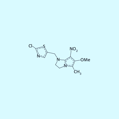 COc1c([N+](=O)[O-])c2n(c1C)CCN2Cc1cnc(Cl)s1